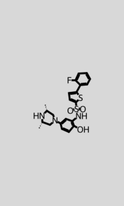 C[C@@H]1CN(c2ccc(O)c(NS(=O)(=O)c3ccc(-c4ccccc4F)s3)c2)C[C@H](C)N1